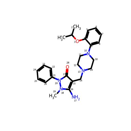 CC(C)Oc1ccccc1N1CCN(Cc2c(N)n(C)n(-c3ccccc3)c2=O)CC1